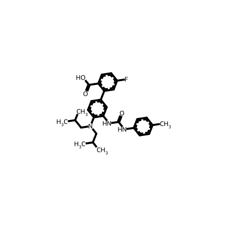 Cc1ccc(NC(=O)Nc2cc(-c3cc(F)ccc3C(=O)O)ccc2N(CC(C)C)CC(C)C)cc1